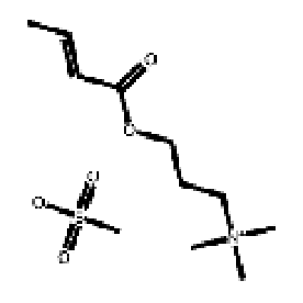 CC=CC(=O)OCCC[N+](C)(C)C.CS(=O)(=O)[O-]